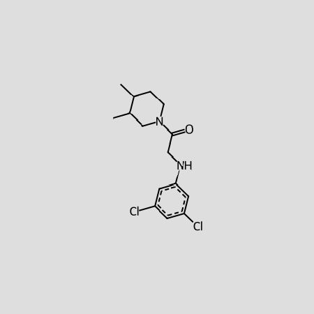 CC1CCN(C(=O)CNc2cc(Cl)cc(Cl)c2)CC1C